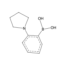 OB(O)c1ccccc1N1CCCC1